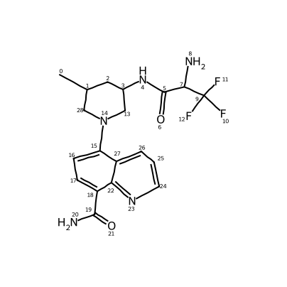 CC1CC(NC(=O)C(N)C(F)(F)F)CN(c2ccc(C(N)=O)c3ncccc23)C1